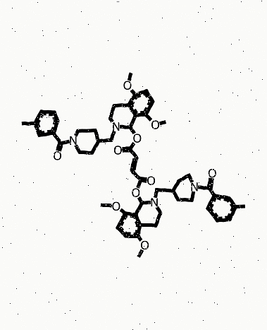 COc1ccc(OC)c2c1CCN(CC1CCN(C(=O)c3cccc(C)c3)CC1)C2OC(=O)/C=C/C(=O)OC1c2c(OC)ccc(OC)c2CCN1CC1CCN(C(=O)c2cccc(C)c2)CC1